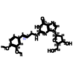 COc1ccc(/C=C/CNc2nc3c(ncn3[C@H]3CC(O)[C@@H](CO)O3)c(=O)[nH]2)cc1OC